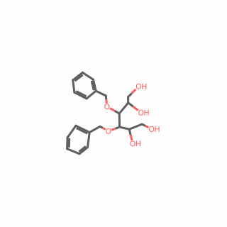 OCC(O)C(OCc1ccccc1)C(OCc1ccccc1)C(O)CO